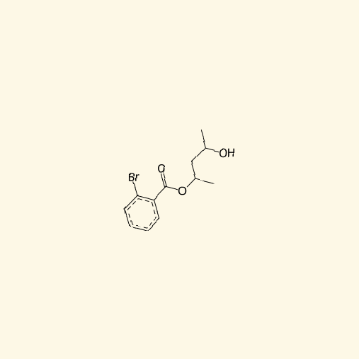 CC(O)CC(C)OC(=O)c1ccccc1Br